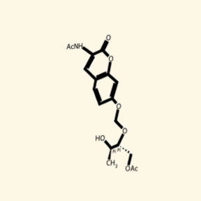 CC(=O)Nc1cc2ccc(OCO[C@H](COC(C)=O)[C@@H](C)O)cc2oc1=O